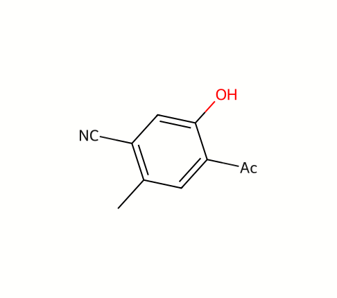 CC(=O)c1cc(C)c(C#N)cc1O